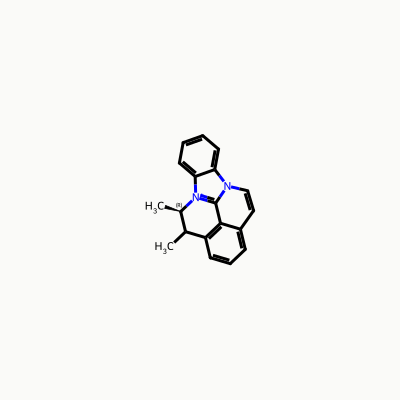 CC1c2cccc3ccn4c5ccccc5[n+](c4c23)[C@@H]1C